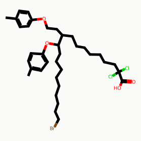 Cc1ccc(OCCC(CCCCCCCC(Cl)(Cl)C(=O)O)C(CCCCCCCCCBr)Oc2ccc(C)cc2)cc1